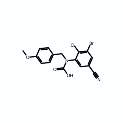 COc1ccc(CN(C(=O)O)c2cc(C#N)cc(Br)c2Cl)cc1